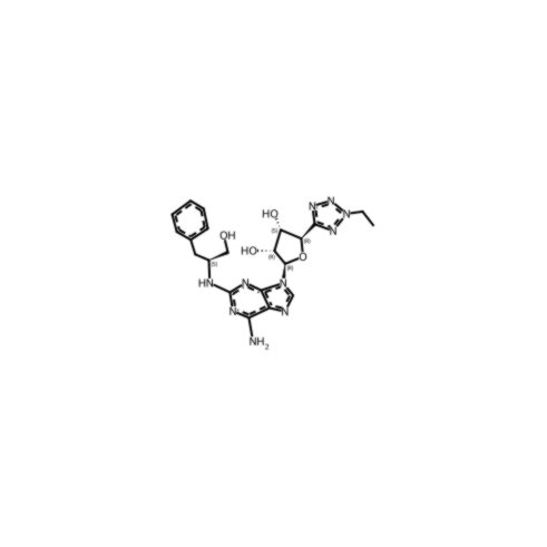 CCn1nnc([C@H]2O[C@@H](n3cnc4c(N)nc(N[C@H](CO)Cc5ccccc5)nc43)[C@H](O)[C@@H]2O)n1